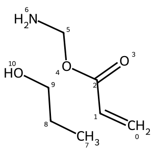 C=CC(=O)OCN.CCCO